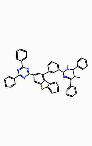 CC1C(c2ccccc2)=NC(c2cccc(-c3cc(-c4nc(-c5ccccc5)nc(-c5ccccc5)n4)cc4sc5ccccc5c34)c2)NC1c1ccccc1